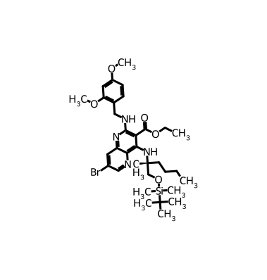 CCCC[C@](C)(CO[Si](C)(C)C(C)(C)C)Nc1c(C(=O)OCC)c(NCc2ccc(OC)cc2OC)nc2cc(Br)cnc12